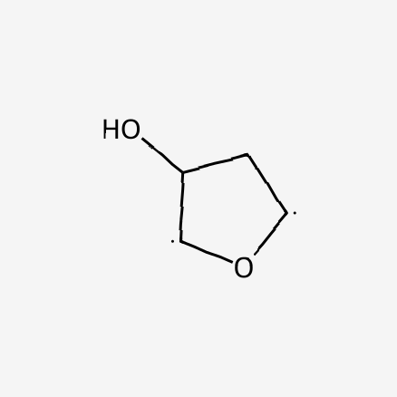 OC1[CH]O[CH]C1